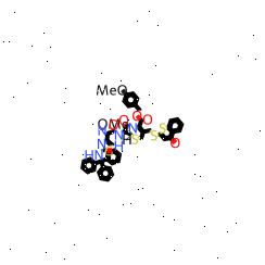 CO/N=C(\C(=O)NC1C(=O)N2C(C(=O)OCc3ccc(OC)cc3)=C(CSc3cc(=O)c4ccccc4s3)CS[C@@H]12)c1csc(NC(c2ccccc2)(c2ccccc2)c2ccccc2)n1